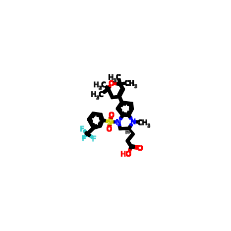 CN1c2ccc(C3=CC(C)(C)OC(C)(C)C3)cc2N(S(=O)(=O)c2cccc(C(F)(F)F)c2)C[C@@H]1CCC(=O)O